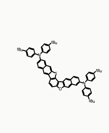 CC(C)(C)c1ccc(N(c2ccc(C(C)(C)C)cc2)c2ccc3cc4c(cc3c2)oc2ccc3c5cc6ccc(N(c7ccc(C(C)(C)C)cc7)c7ccc(C(C)(C)C)cc7)cc6cc5sc3c24)cc1